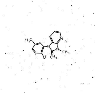 C=C1N(C)c2ncccc2N1c1cc(C)ccc1Cl